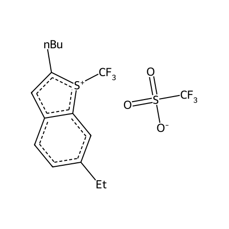 CCCCc1cc2ccc(CC)cc2[s+]1C(F)(F)F.O=S(=O)([O-])C(F)(F)F